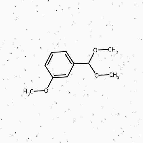 COc1cccc(C(OC)OC)c1